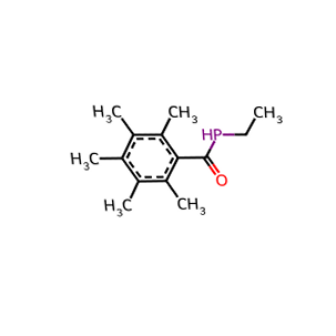 CCPC(=O)c1c(C)c(C)c(C)c(C)c1C